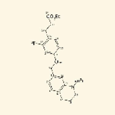 CCCN1CCCc2ccc(COc3ccc(CCC(=O)OCC)c(F)c3)cc21